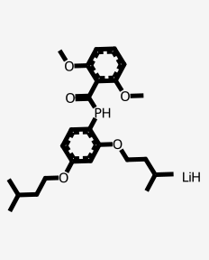 COc1cccc(OC)c1C(=O)Pc1ccc(OCCC(C)C)cc1OCCC(C)C.[LiH]